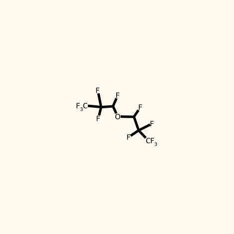 FC(OC(F)C(F)(F)C(F)(F)F)C(F)(F)C(F)(F)F